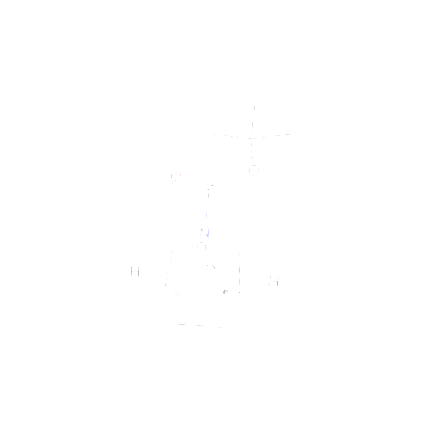 CC(C)(C)OC(=O)N1C[C@H]2CC[C@@H](C1)C2=O